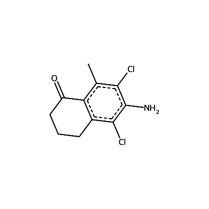 Cc1c(Cl)c(N)c(Cl)c2c1C(=O)CCC2